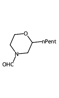 CCCCCC1CN(C=O)CCO1